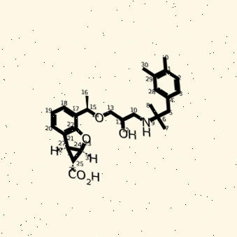 Cc1ccc(CC(C)(C)NCC(O)CO[C@H](C)c2cccc3c2O[C@H]2[C@H](C(=O)O)[C@@H]32)cc1C